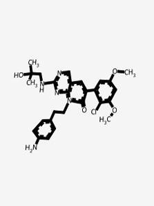 COc1cc(OC)c(Cl)c(-c2cc3cnc(NCC(C)(C)O)nc3n(CCc3ccc(N)cc3)c2=O)c1